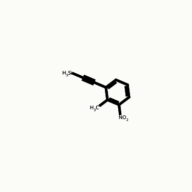 Cc1c(C#C[SiH3])cccc1[N+](=O)[O-]